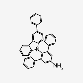 Nc1cc(-c2ccccc2)c(-n2c3ccccc3c3cc(-c4ccccc4)ccc32)c(-c2ccccc2)c1